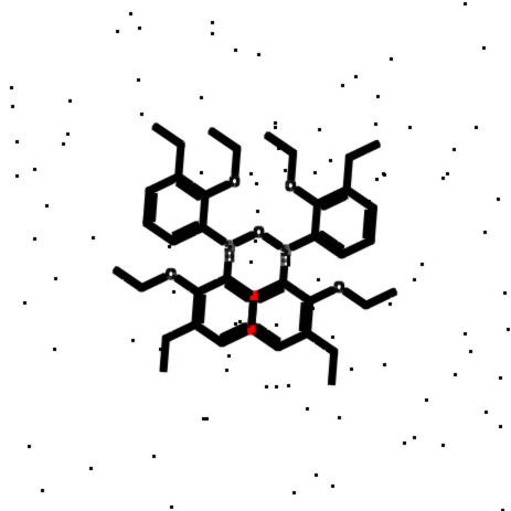 CCOc1c(CC)cccc1[SiH](O[SiH](c1cccc(CC)c1OCC)c1cccc(CC)c1OCC)c1cccc(CC)c1OCC